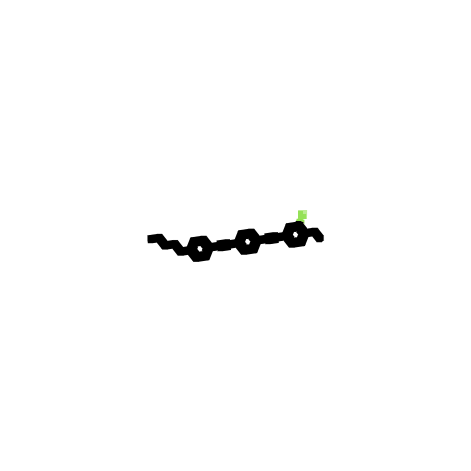 CCCCCc1ccc(C#Cc2ccc(C#Cc3ccc(CC)c(F)c3)cc2)cc1